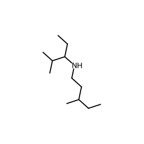 CCC(C)CCNC(CC)C(C)C